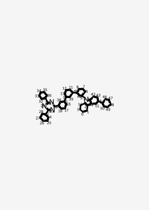 C1=Cc2c(n(-c3cccc(-c4cccc(-c5cccc(-c6nc(-c7ccccc7)nc(-c7ccccc7)n6)c5)c4)c3)c3ccc(-c4ccccc4)cc23)CC1